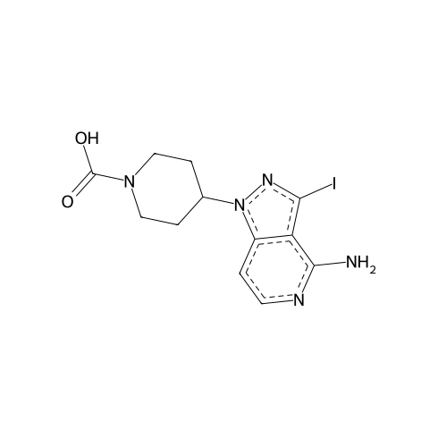 Nc1nccc2c1c(I)nn2C1CCN(C(=O)O)CC1